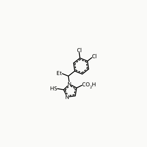 CCC(c1ccc(Cl)c(Cl)c1)n1c(C(=O)O)cnc1S